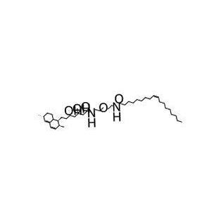 CCCCCCCC/C=C\CCCCCCCC(=O)NCCOCCNC(=O)C[C@H](O)C[C@@H](O)CC[C@@H]1C2CC[C@@H](C)C=C2C=C[C@@H]1C